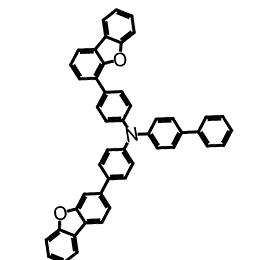 c1ccc(-c2ccc(N(c3ccc(-c4ccc5c(c4)oc4ccccc45)cc3)c3ccc(-c4cccc5c4oc4ccccc45)cc3)cc2)cc1